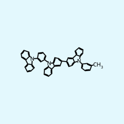 Cc1cccc(-n2c3ccccc3c3cc(-c4ccc5c(c4)c4ccccc4n5-c4cccc(-n5c6ccccc6c6ccccc65)c4)ccc32)c1